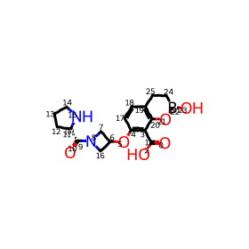 O=C(O)c1c(OC2CN(C(=O)[C@@H]3CCCN3)C2)ccc2c1OB(O)CC2